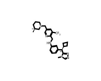 C[C@H]1CCCN(Cc2cnc(CNc3cccc([C@H](c4nncn4C)C4CCC4)c3)c(C(F)(F)F)c2)C1